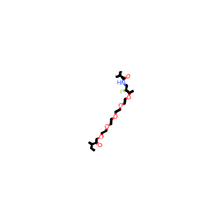 CCC(C)C(=O)COCCOCCOCCOCCOC(C)C(F)CNC(=O)C(C)C